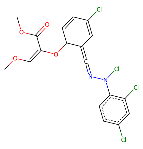 COC=C(OC1C=CC(Cl)=CC1=C=NN(Cl)c1ccc(Cl)cc1Cl)C(=O)OC